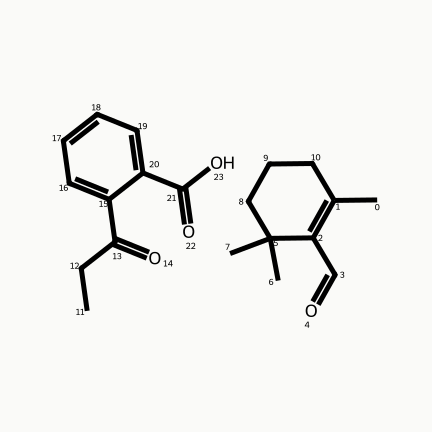 CC1=C(C=O)C(C)(C)CCC1.CCC(=O)c1ccccc1C(=O)O